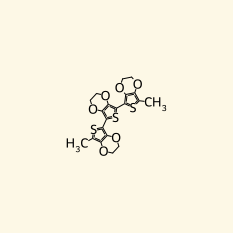 Cc1sc(-c2sc(-c3sc(C)c4c3OCCO4)c3c2OCCO3)c2c1OCCO2